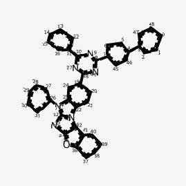 c1ccc(-c2ccc(-c3nc(-c4ccccc4)nc(-c4ccc5c(c4)n(-c4ccccc4)c4nc6oc7ccccc7c6n54)n3)cc2)cc1